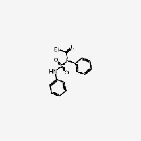 CCC(=O)N(c1ccccc1)S(=O)(=O)Nc1ccccc1